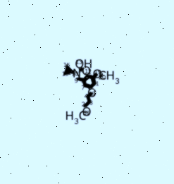 COCCCOc1cc(CN(C(=O)O)C2CC2)cc(OC)c1